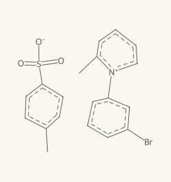 Cc1ccc(S(=O)(=O)[O-])cc1.Cc1cccc[n+]1-c1cccc(Br)c1